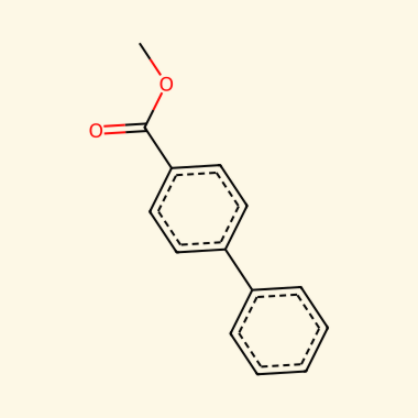 COC(=O)c1ccc(-c2ccccc2)cc1